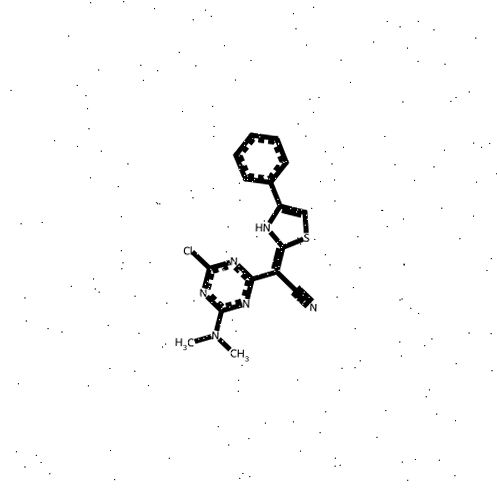 CN(C)c1nc(Cl)nc(C(C#N)=C2NC(c3ccccc3)=CS2)n1